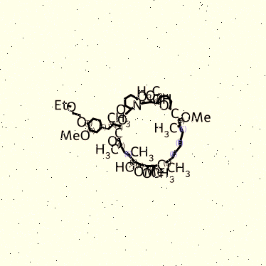 CCOCCO[C@@H]1CC[C@@H](C[C@@H](C)[C@@H]2CC(=O)[C@H](C)/C=C(\C)[C@@H](O)[C@@H](OC)C(=O)[C@H](C)C[C@H](C)/C=C/C=C/C=C(\C)[C@@H](OC)CC3CC[C@@H](C)[C@@](O)(O3)C(=O)C(=O)N3CCCCC3C(=O)O2)C[C@H]1OC